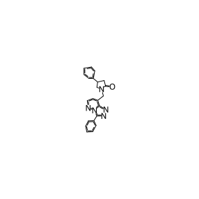 O=C1CC(c2ccccc2)CN1Cc1ccnn2c(-c3ccccc3)nnc12